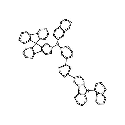 c1cc(-c2cccc(N(c3ccc4c(c3)C3(c5ccccc5-c5ccccc53)c3ccccc3-4)c3ccc4ccccc4c3)c2)cc(-c2ccc3c(c2)c2ccccc2n3-c2cccc3ccccc23)c1